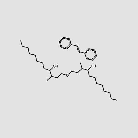 CCCCCCCCC(O)C(C)CCOCCC(C)C(O)CCCCCCCC.c1ccc(N=Nc2ccccc2)cc1